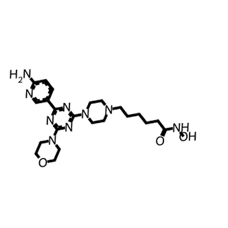 Nc1ccc(-c2nc(N3CCOCC3)nc(N3CCN(CCCCCC(=O)NO)CC3)n2)cn1